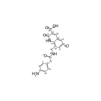 Nc1ccc(CC(=O)NCc2cc(Cl)cc3cc(C(=O)O)c(=O)[nH]c23)cc1